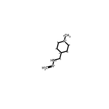 C=NNCC1CCN(C)CC1